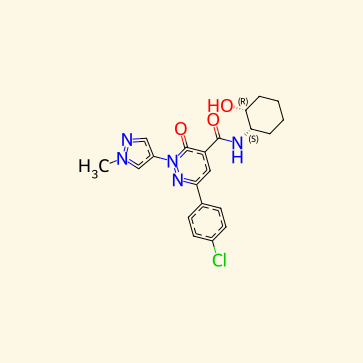 Cn1cc(-n2nc(-c3ccc(Cl)cc3)cc(C(=O)N[C@H]3CCCC[C@H]3O)c2=O)cn1